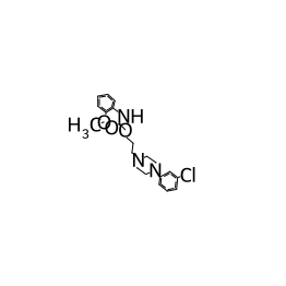 COc1ccccc1NC(=O)OCCCN1CCN(c2cccc(Cl)c2)CC1